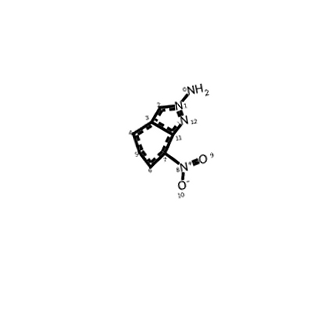 Nn1cc2cccc([N+](=O)[O-])c2n1